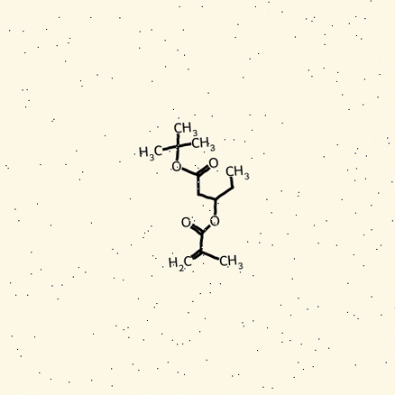 C=C(C)C(=O)OC(CC)CC(=O)OC(C)(C)C